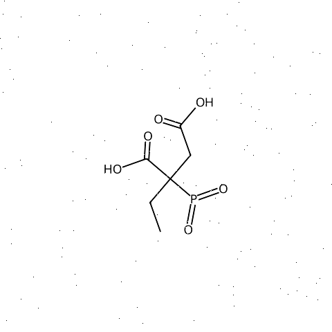 CCC(CC(=O)O)(C(=O)O)P(=O)=O